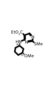 CCOC(=O)c1cnc(SC)nc1N[C@@H]1CCC[C@H](OC)C1